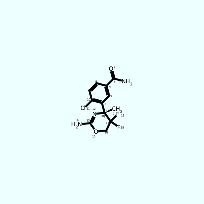 C[C@]1(c2cc(C(N)=O)ccc2Cl)N=C(N)OCC1(F)F